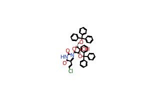 O=c1[nH]c(=O)n([C@@H]2O[C@H](COC(c3ccccc3)(c3ccccc3)c3ccccc3)[C@@H](O)[C@H]2OC(c2ccccc2)(c2ccccc2)c2ccccc2)cc1C=CCl